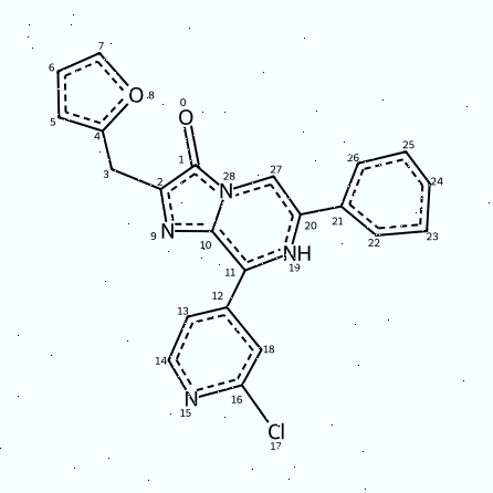 O=c1c(Cc2ccco2)nc2c(-c3ccnc(Cl)c3)[nH]c(-c3ccccc3)cn1-2